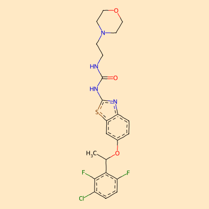 CC(Oc1ccc2nc(NC(=O)NCCN3CCOCC3)sc2c1)c1c(F)ccc(Cl)c1F